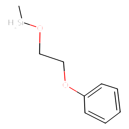 C[SiH2]OCCOc1ccccc1